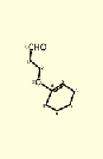 O=CCCOC1=CCCCC1